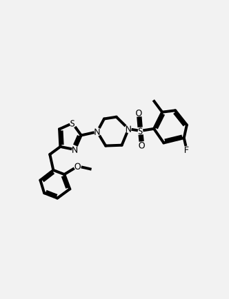 COc1ccccc1Cc1csc(N2CCN(S(=O)(=O)c3cc(F)ccc3C)CC2)n1